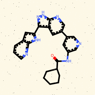 O=C(Nc1cncc(-c2cnc3[nH]nc(-c4cc5cccnc5[nH]4)c3c2)c1)C1CCCCC1